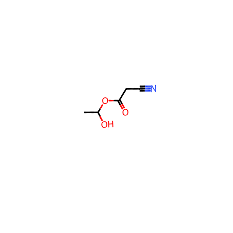 CC(O)OC(=O)CC#N